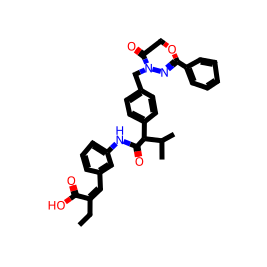 CCC(=Cc1cccc(NC(=O)C(c2ccc(CN3N=C(c4ccccc4)OCC3=O)cc2)C(C)C)c1)C(=O)O